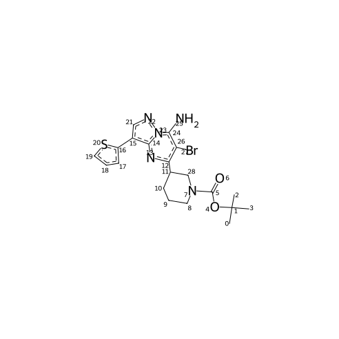 CC(C)(C)OC(=O)N1CCCC(c2nc3c(-c4cccs4)cnn3c(N)c2Br)C1